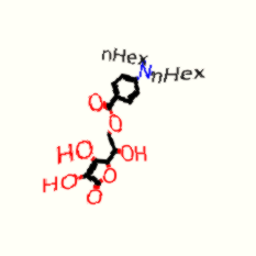 CCCCCCN(CCCCCC)c1ccc(C(=O)OCC(O)C2OC(=O)C(O)=C2O)cc1